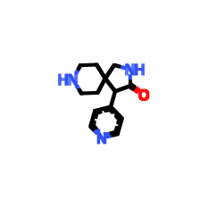 O=C1NCC2(CCNCC2)C1c1ccncc1